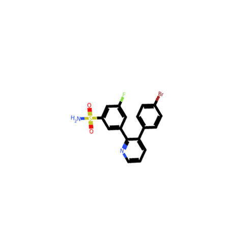 NS(=O)(=O)c1cc(F)cc(-c2ncccc2-c2ccc(Br)cc2)c1